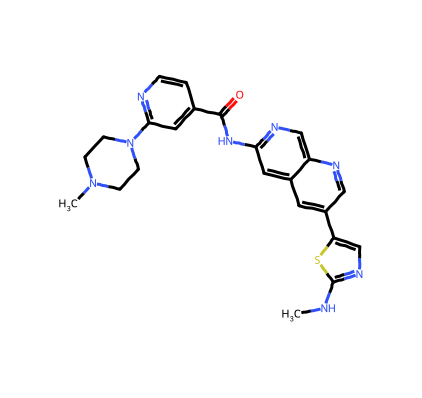 CNc1ncc(-c2cnc3cnc(NC(=O)c4ccnc(N5CCN(C)CC5)c4)cc3c2)s1